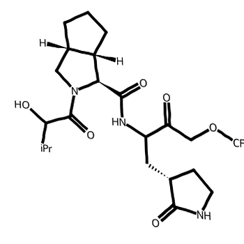 CC(C)C(O)C(=O)N1C[C@@H]2CCC[C@@H]2[C@H]1C(=O)NC(C[C@@H]1CCNC1=O)C(=O)COC(F)(F)F